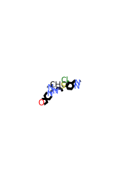 C/C(=C\N=C(/N(C)C=O)N1CCC2(CCOC2)CC1)Sc1ccc2nn(C)cc2c1Cl